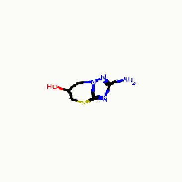 Nc1nc2n(n1)CC(O)CS2